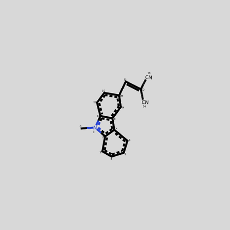 Cn1c2ccccc2c2cc(C=C(C#N)C#N)ccc21